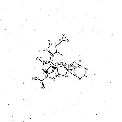 O=C(O)c1cc(F)c2nc(C3(O)C4COC[C@@H]3CC(OCc3c(-c5c(Cl)cccc5Cl)noc3C3CC3)C4)sc2c1